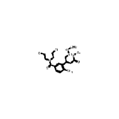 Cc1ccc(C(=O)N(CCCl)CCCl)cc1C(CNBC=O)CC(=O)OC(C)(C)C